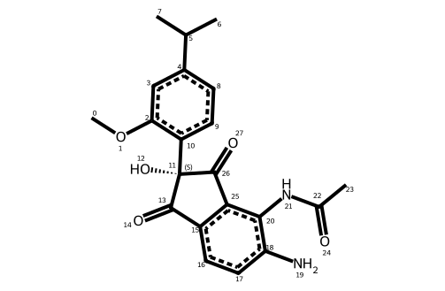 COc1cc(C(C)C)ccc1[C@]1(O)C(=O)c2ccc(N)c(NC(C)=O)c2C1=O